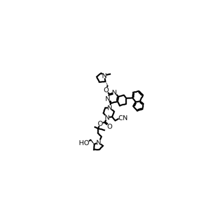 CN1CCC[C@H]1COc1nc2c(c(N3CCN(C(=O)OC(C)(C)CCN4CCC[C@H]4CO)C(CC#N)C3)n1)CCC(c1cccc3ccccc13)C2